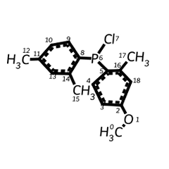 COc1ccc(P(Cl)c2ccc(C)cc2C)c(C)c1